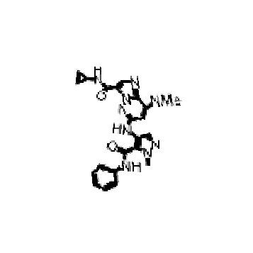 CNc1cc(Nc2cnn(C)c2C(=O)Nc2ccccc2)nn2c(C(=O)NC3CC3)cnc12